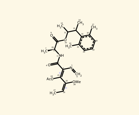 C=N/C(C(=O)N[C@@H](C)C(=O)OC(C)C(C)c1c(C)cccc1C)=C(OC(C)=O)\C(=C/C)OC